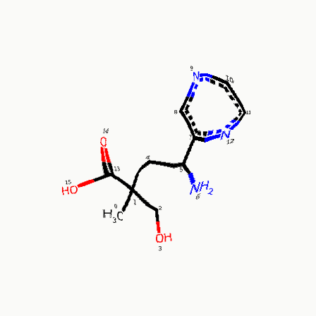 CC(CO)(CC(N)c1cnccn1)C(=O)O